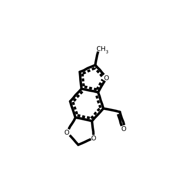 Cc1cc2cc3c(c(C=O)c2o1)OCO3